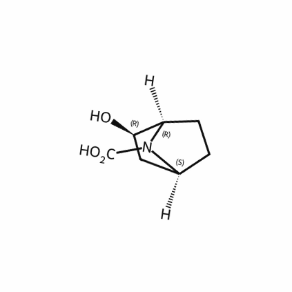 O=C(O)N1[C@H]2CC[C@@H]1[C@H](O)C2